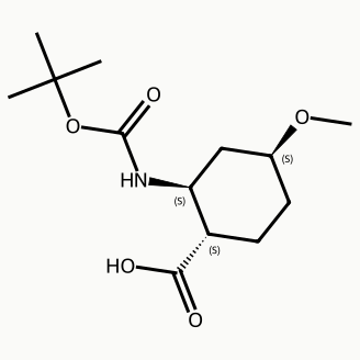 CO[C@H]1CC[C@H](C(=O)O)[C@@H](NC(=O)OC(C)(C)C)C1